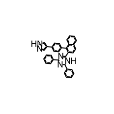 c1ccc(C2=NC(c3ccccc3)NC(c3ccc4ccccc4c3-c3ccc(-c4cn[nH]c4)cc3)=N2)cc1